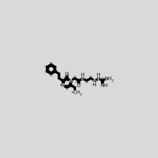 CCc1cnc(CCc2ccccc2)c(=O)n1CC(=O)NCCNNC(=N)N